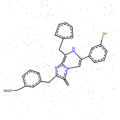 C=c1c(Cc2cccc(COC)c2)nc2n1C=C(c1cccc(S)c1)NC=2Cc1ccccc1